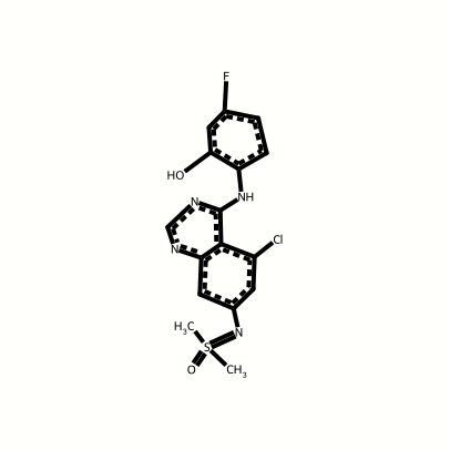 CS(C)(=O)=Nc1cc(Cl)c2c(Nc3ccc(F)cc3O)ncnc2c1